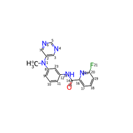 CN(c1cncnc1)c1cccc(NC(=O)c2cccc(F)n2)c1